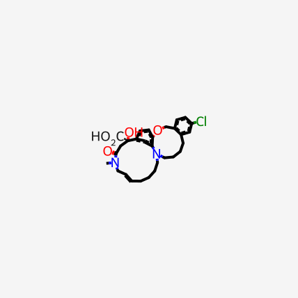 CN1C/C=C/CCCCN2CCCCc3cc(Cl)ccc3COc3ccc(cc32)[C@](O)(C(=O)O)CC1=O